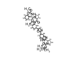 COC(=O)N[C@@H](C(=O)N1CCC[C@H]1C(=O)NC1=C(C)C=CC(c2cnc(-c3ccc4[nH]c([C@@H]5CCCN5C(=O)OC(C)(C)C)nc4c3)o2)C1)c1ccccc1